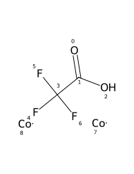 O=C(O)C(F)(F)F.[Co].[Co]